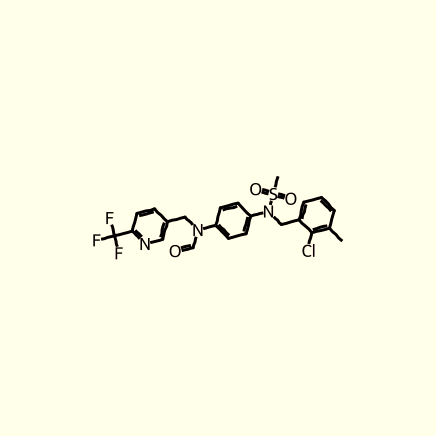 Cc1cccc(CN(c2ccc(N(C=O)Cc3ccc(C(F)(F)F)nc3)cc2)S(C)(=O)=O)c1Cl